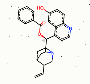 C=CC1CN2CCC1CC2[C@@H](OC(=O)c1ccccc1)c1ccnc2ccc(O)cc12